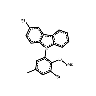 CCCCOc1c(Br)cc(C)cc1-n1c2ccccc2c2cc(CC)ccc21